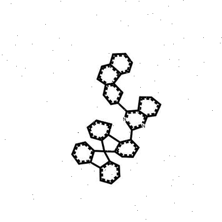 c1ccc2c(c1)-c1ccccc1C21c2ccccc2-c2c(-c3nc(-c4ccc5ccc6ccccc6c5c4)c4ccccc4n3)cccc21